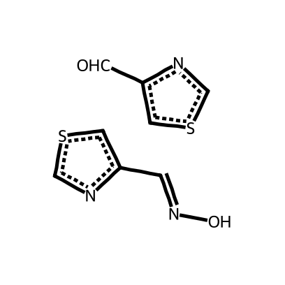 O=Cc1cscn1.ON=Cc1cscn1